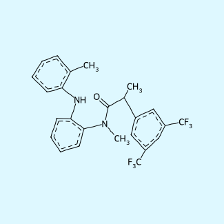 Cc1ccccc1Nc1ccccc1N(C)C(=O)C(C)c1cc(C(F)(F)F)cc(C(F)(F)F)c1